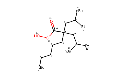 CCCCC(CC)CC(CCCCC(C)(C)C)(CC(CC)CCCC)C(=O)OO